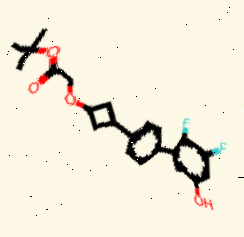 CC(C)(C)OC(=O)COC1CC(c2ccc(-c3cc(O)cc(F)c3F)cc2)C1